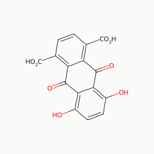 O=C(O)c1ccc(C(=O)O)c2c1C(=O)c1c(O)ccc(O)c1C2=O